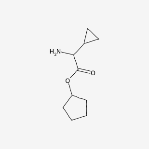 NC(C(=O)OC1CCCC1)C1CC1